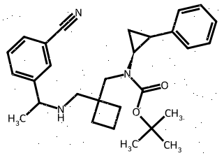 CC(NCC1(CN(C(=O)OC(C)(C)C)[C@H]2CC2c2ccccc2)CCC1)c1cccc(C#N)c1